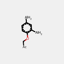 CC(=O)COc1cc[c]([AlH2])c[c]1[AlH2]